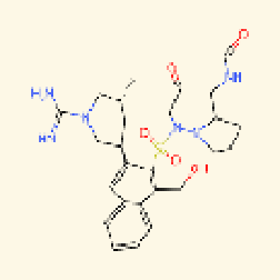 C[C@@H]1C[C@@H](c2cc3ccccc3c(CO)c2S(=O)(=O)N(CC=O)N2CCCC2CNC=O)CN(C(=N)N)C1